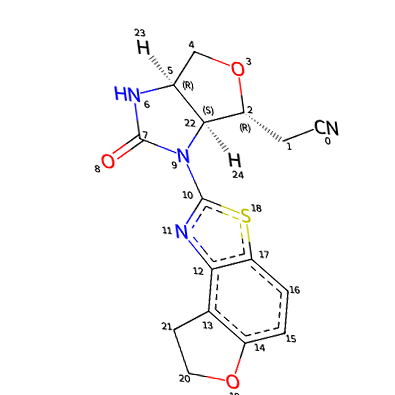 N#CC[C@H]1OC[C@@H]2NC(=O)N(c3nc4c5c(ccc4s3)OCC5)[C@@H]21